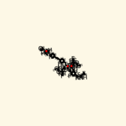 COC(=O)N[C@H](C(=O)N[C@@H](Cc1ccc(C#Cc2ccc(N3C[C@H]4C[C@@H]3CN4C3COC3)nc2)cc1)[C@@H](O)CN(Cc1c(F)cc(C(=N)SC(=N)C2CC2)cc1F)NC(=O)[C@@H](NC(=O)OC)C(C)(C)C(F)(F)F)C(C)(C)C(F)(F)F